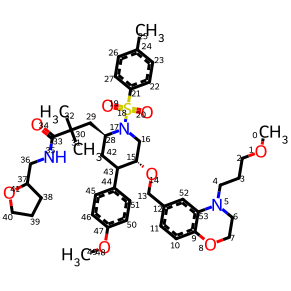 COCCCN1CCOc2ccc(CO[C@H]3CN(S(=O)(=O)c4ccc(C)cc4)[C@H](CC(C)(C)C(=O)NCC4CCCO4)CC3c3ccc(OC)cc3)cc21